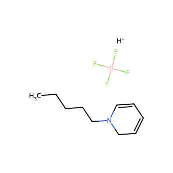 CCCCCN1C=CC=CC1.F[B-](F)(F)F.[H+]